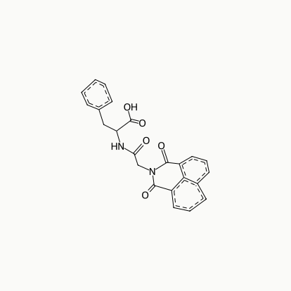 O=C(CN1C(=O)c2cccc3cccc(c23)C1=O)NC(Cc1ccccc1)C(=O)O